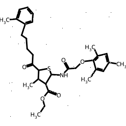 CCOC(=O)C1C(NC(=O)COc2c(C)cc(C)cc2C)SC(C(=O)CCCCc2ccccc2C)C1C